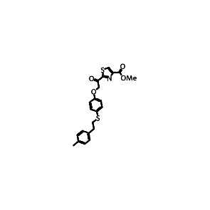 COC(=O)c1csc(C(=O)COc2ccc(SCCc3ccc(C)cc3)cc2)n1